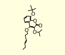 CCC=CCCOc1c(OC(C)C)c(=O)oc2c(OC(C)(C)C)cccc12